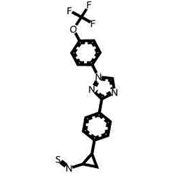 FC(F)(F)Oc1ccc(-n2cnc(-c3ccc(C4CC4N=S)cc3)n2)cc1